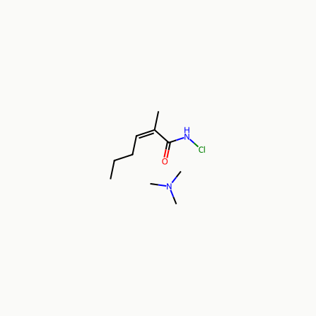 CCCC=C(C)C(=O)NCl.CN(C)C